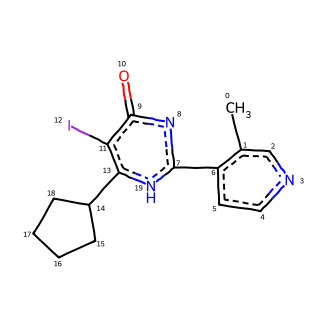 Cc1cnccc1-c1nc(=O)c(I)c(C2CCCC2)[nH]1